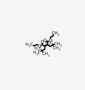 CCCOC(=O)/C(CC(C)(C)C)=C(/CC(C)(C)C)C(=O)OCCC